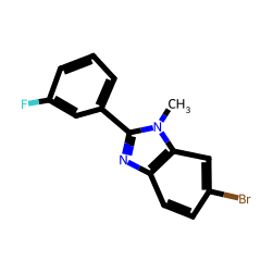 Cn1c(-c2cccc(F)c2)nc2ccc(Br)cc21